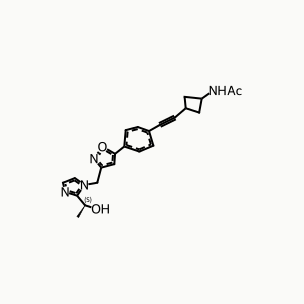 CC(=O)NC1CC(C#Cc2ccc(-c3cc(Cn4ccnc4[C@H](C)O)no3)cc2)C1